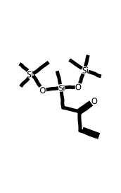 C=CC(=O)C[Si](C)(O[Si](C)(C)C)O[Si](C)(C)C